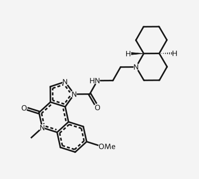 COc1ccc2c(c1)c1c(cnn1C(=O)NCCN1CCC[C@@H]3CCCC[C@H]31)c(=O)n2C